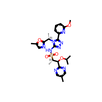 COc1cccc(-c2nnc(NS(=O)(=O)[C@@H](C)C(OC(C)C)c3ncc(C)cn3)n2[C@@H](C)c2ncc(C)o2)n1